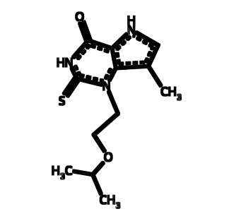 Cc1c[nH]c2c(=O)[nH]c(=S)n(CCOC(C)C)c12